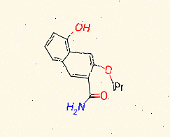 CC(C)Oc1cc2c(O)cccc2cc1C(N)=O